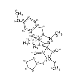 CCOC(=O)C1(C(=O)CCC2CCCC2)C[C@]2(C)C3Cc4ccc(OC)cc4[C@]2(C)CC1N3C